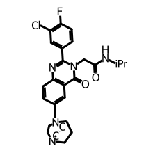 CC(C)NC(=O)Cn1c(-c2ccc(F)c(Cl)c2)nc2ccc(N3CCN4CCC3CC4)cc2c1=O